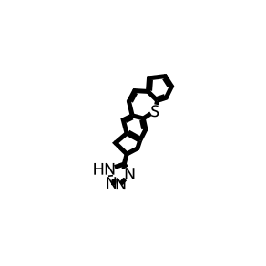 C1=Cc2cc3c(cc2Sc2ccccc21)CC(c1nnn[nH]1)C3